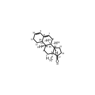 C[C@]12CC[C@H]3[C@@H](CC=C4C=CCC[C@@H]43)[C@@H]1CCC2=O